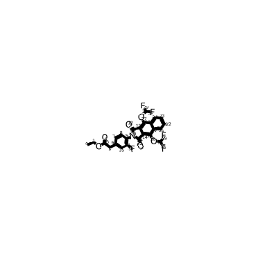 CCOC(=O)Cc1ccc(N2C(=O)c3c(c(OC(F)F)c4ccccc4c3OC(F)F)C2=O)c(F)c1